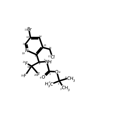 CC(C)(C)OC(=O)NC(c1ncc(Br)cc1CCl)C(F)(F)F